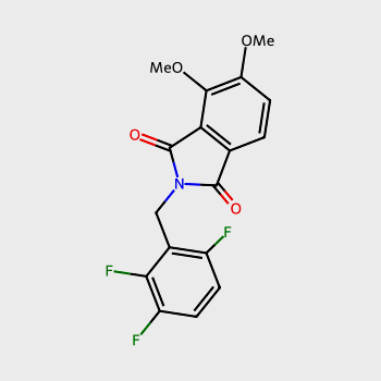 COc1ccc2c(c1OC)C(=O)N(Cc1c(F)ccc(F)c1F)C2=O